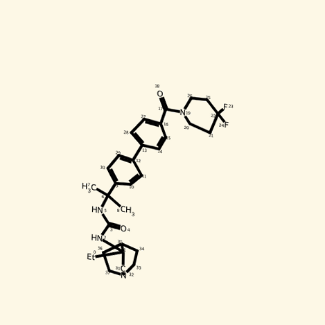 CCC1(NC(=O)NC(C)(C)c2ccc(-c3ccc(C(=O)N4CCC(F)(F)CC4)cc3)cc2)CN2CCC1CC2